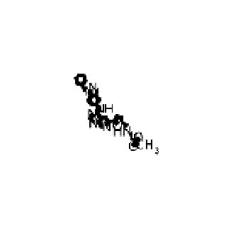 CS(=O)(=O)CCNCc1ccc(-c2cc3c(Nc4ccc5c(cnn5Cc5ccccc5)c4)ncnc3cn2)o1